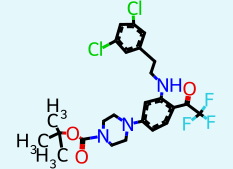 CC(C)(C)OC(=O)N1CCN(c2ccc(C(=O)C(F)(F)F)c(NCCc3cc(Cl)cc(Cl)c3)c2)CC1